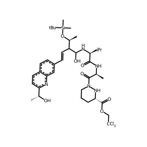 CC(C)[C@H](NC(O)C(/C=C/c1ccc2ccc([C@@H](C)O)nc2c1)[C@H](C)O[Si](C)(C)C(C)(C)C)C(=O)N[C@@H](C)C(=O)N1CCC[C@@H](C(=O)OCC(Cl)(Cl)Cl)N1